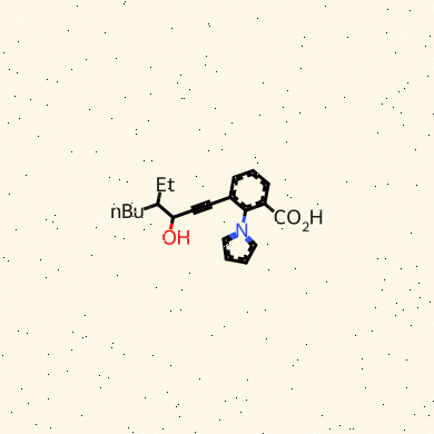 CCCCC(CC)C(O)C#Cc1cccc(C(=O)O)c1-n1cccc1